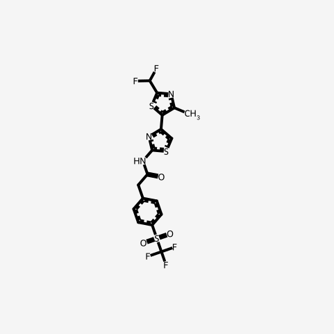 Cc1nc(C(F)F)sc1-c1csc(NC(=O)Cc2ccc(S(=O)(=O)C(F)(F)F)cc2)n1